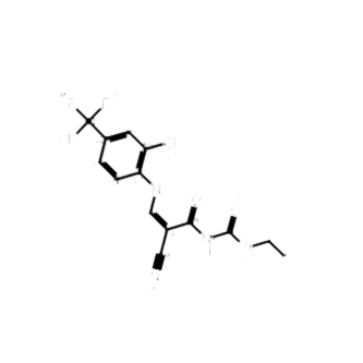 CCOC(=O)NC(=O)C(C#N)=CNc1ccc(C(F)(F)F)cc1Cl